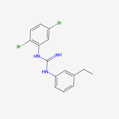 CCc1cccc(NC(=N)Nc2cc(Br)ccc2Br)c1